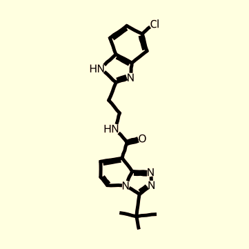 CC(C)(C)c1nnc2c(C(=O)NCCc3nc4cc(Cl)ccc4[nH]3)cccn12